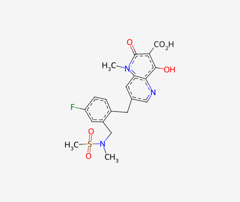 CN(Cc1cc(F)ccc1Cc1cnc2c(O)c(C(=O)O)c(=O)n(C)c2c1)S(C)(=O)=O